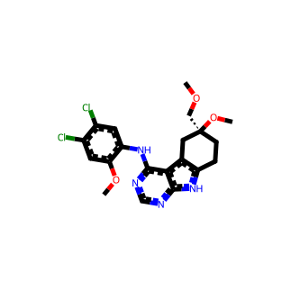 COC[C@]1(OC)CCc2[nH]c3ncnc(Nc4cc(Cl)c(Cl)cc4OC)c3c2C1